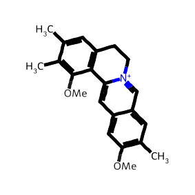 COc1cc2cc3[n+](cc2cc1C)CCc1cc(C)c(C)c(OC)c1-3